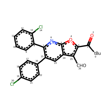 CC(C)(C)C(=O)c1oc2nc(-c3ccccc3Cl)c(-c3ccc(Cl)cc3)cc2c1C=O